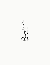 O=C(NCCC(F)(F)F)C1=CC(c2ccnc3[nH]ccc23)CN1